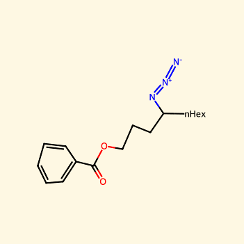 CCCCCCC(CCCOC(=O)c1ccccc1)N=[N+]=[N-]